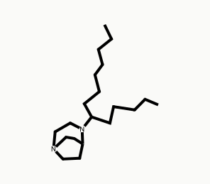 CCCCCCCC(CCCCC)N1CCN2CCC1CC2